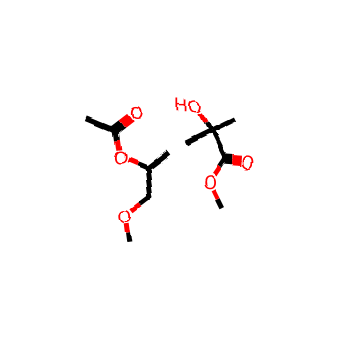 COC(=O)C(C)(C)O.COCC(C)OC(C)=O